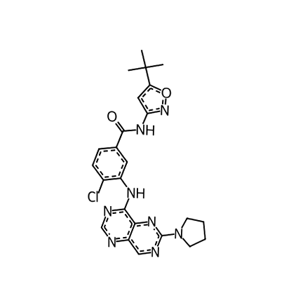 CC(C)(C)c1cc(NC(=O)c2ccc(Cl)c(Nc3ncnc4cnc(N5CCCC5)nc34)c2)no1